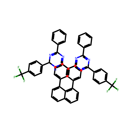 FC(F)(F)c1ccc(-c2nc(-c3ccccc3)nc(-c3cccc(-c4cccc5cccc(-c6cccc(C7=NC(c8ccccc8)=NC(c8ccc(C(F)(F)F)cc8)N7)c6)c45)c3)n2)cc1